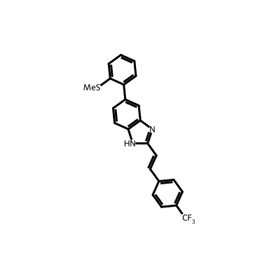 CSc1ccccc1-c1ccc2[nH]c(C=Cc3ccc(C(F)(F)F)cc3)nc2c1